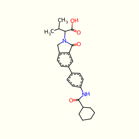 CC(C)C(C(=O)O)N1Cc2ccc(-c3ccc(NC(=O)C4CCCCC4)cc3)cc2C1=O